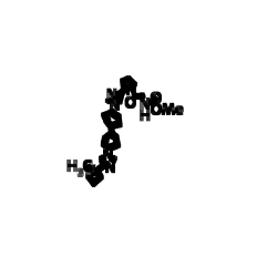 COC(=O)NCC(=O)N1CCCC1c1cn(-c2ccc(-c3ccc(-n4cnc(C5CCCN5C)c4)cc3)cc2)cn1